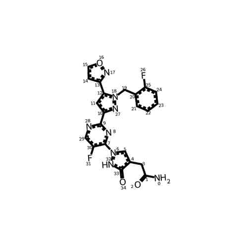 NC(=O)Cc1cn(-c2nc(-c3cc(-c4ccon4)n(Cc4ccccc4F)n3)ncc2F)[nH]c1=O